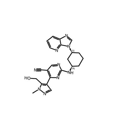 Cn1ncc(-c2nc(N[C@@H]3CCC[C@H](n4cnc5cccnc54)C3)ncc2C#N)c1CO